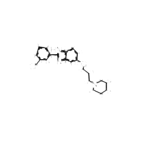 Clc1cccc(-c2nc3cc(OCCCN4CCCCC4)ccc3[nH]2)c1